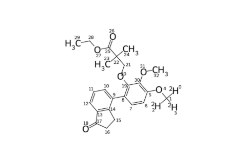 [2H]C([2H])([2H])Oc1ccc(-c2cccc3c2CCC3=O)c(OCC(C)(C)C(=O)OCC)c1OC